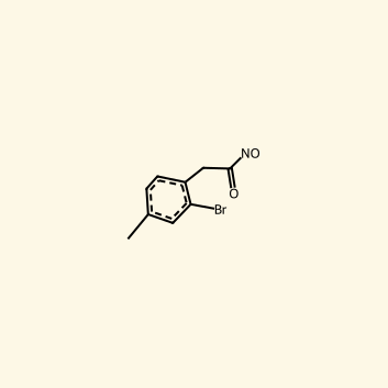 Cc1ccc(CC(=O)N=O)c(Br)c1